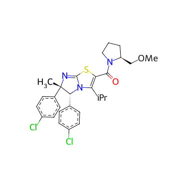 COC[C@@H]1CCCN1C(=O)C1=C(C(C)C)N2C(=N[C@@](C)(c3ccc(Cl)cc3)[C@H]2c2ccc(Cl)cc2)S1